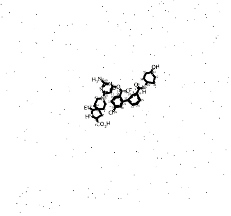 CCC1NC(C(=O)O)CC12CCN(c1cc(O[C@H](c3ccc(Cl)cc3-c3cccc(C(=O)NC4CCC(O)CC4)c3)C(F)(F)F)nc(N)n1)CC2